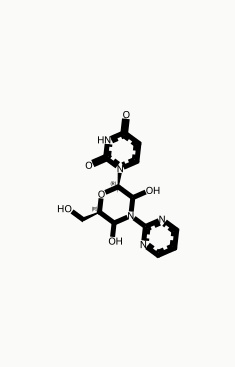 O=c1ccn([C@@H]2O[C@H](CO)C(O)N(c3ncccn3)C2O)c(=O)[nH]1